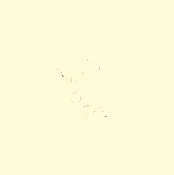 CCO[C@@H]1CCO[C@H](C(=O)N[C@H](C#N)Cc2ccc(-c3ccc4oc(=O)n(C)c4c3)cc2)CNC1